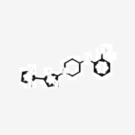 FC(F)(F)c1ccccc1OC1CCN(c2ncc(-c3ncco3)s2)CC1